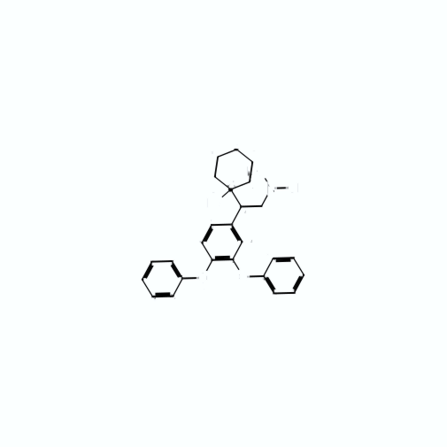 CN(C)CC(c1ccc(Oc2ccccc2)c(Oc2ccccc2)c1)C1(O)CCCCC1